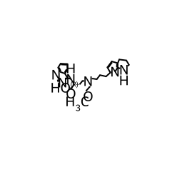 COCCN(CCCCc1ccc2c(n1)NCCC2)CC[C@@H](Nc1ncnc2ccccc12)C(=O)O